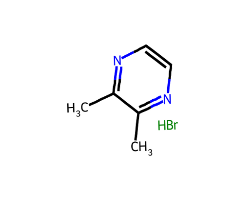 Br.Cc1nccnc1C